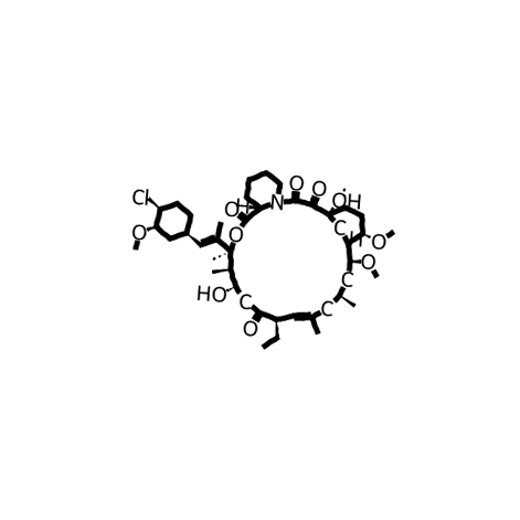 CC[C@@H]1/C=C(\C)C[C@H](C)C[C@H](OC)[C@H]2C[C@@](O)(C(=O)C(=O)N3CCCC[C@H]3C(=O)O[C@](C)(/C(C)=C/[C@@H]3CC[C@H](Cl)[C@H](OC)C3)[C@H](C)[C@@H](O)CC1=O)[C@H](C)C[C@@H]2OC